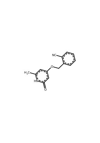 Cc1cc(OCc2ccccc2C#N)cc(=O)[nH]1